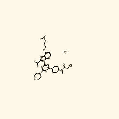 CN(C)CCCOc1cccc2c1nc(C(F)F)n2-c1nc(N2CCOCC2)nc(N2CCC(N(C)C(=O)CCl)CC2)n1.Cl